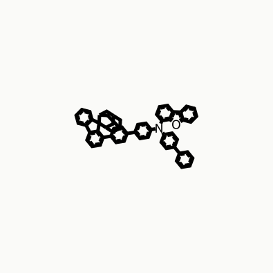 c1ccc(-c2ccc(N(c3ccc(-c4ccc(-c5cccc6c5C5(c7ccccc7-6)C6CC7CC(C6)CC5C7)cc4)cc3)c3cccc4c3oc3ccccc34)cc2)cc1